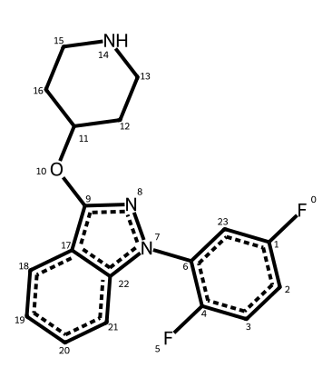 Fc1ccc(F)c(-n2nc(OC3CCNCC3)c3ccccc32)c1